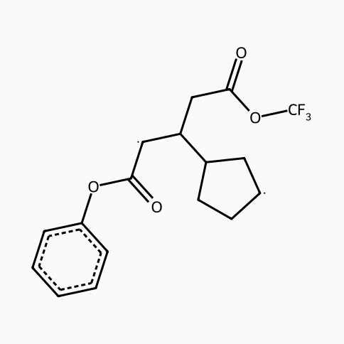 O=C([CH]C(CC(=O)OC(F)(F)F)C1C[CH]CC1)Oc1ccccc1